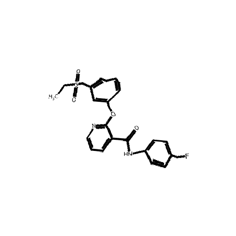 CCS(=O)(=O)c1cccc(Oc2ncccc2C(=O)Nc2ccc(F)cc2)c1